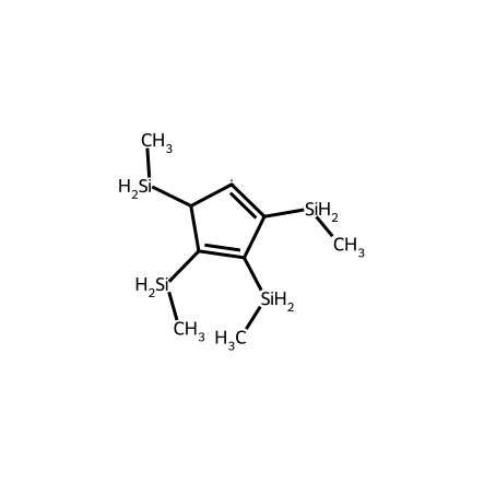 C[SiH2]C1=[C]C([SiH2]C)C([SiH2]C)=C1[SiH2]C